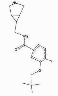 CC(C)(C)COc1cc(C(=O)NCC2C3CNCC32)ccc1F